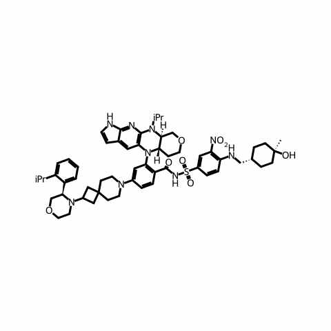 CC(C)c1ccccc1[C@@H]1COCCN1C1CC2(CCN(c3ccc(C(=O)NS(=O)(=O)c4ccc(NC[C@H]5CC[C@](C)(O)CC5)c([N+](=O)[O-])c4)c(N4c5cc6cc[nH]c6nc5N(C(C)C)[C@H]5COCC[C@@H]54)c3)CC2)C1